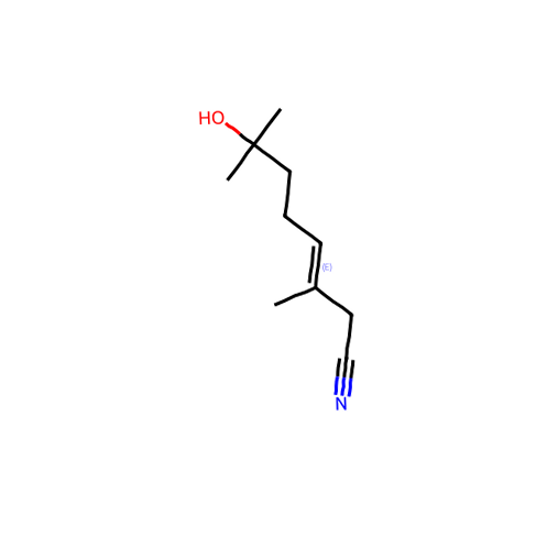 C/C(=C\CCC(C)(C)O)CC#N